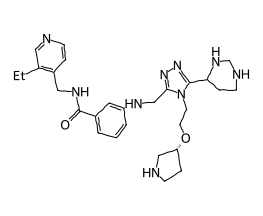 CCc1cnccc1CNC(=O)c1cccc(NCc2nnc(C3CCNCN3)n2CCO[C@@H]2CCNC2)c1